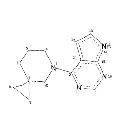 c1nc(N2CCCC3(CC3)C2)c2cc[nH]c2n1